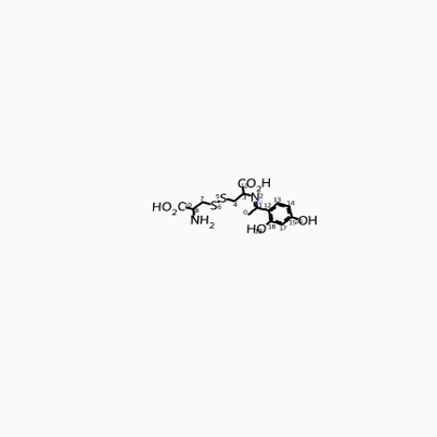 C/C(=N\C(CSSCC(N)C(=O)O)C(=O)O)c1ccc(O)cc1O